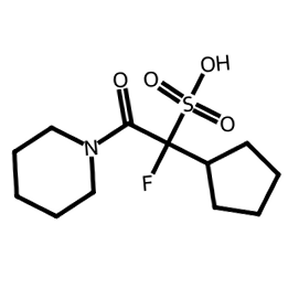 O=C(N1CCCCC1)C(F)(C1CCCC1)S(=O)(=O)O